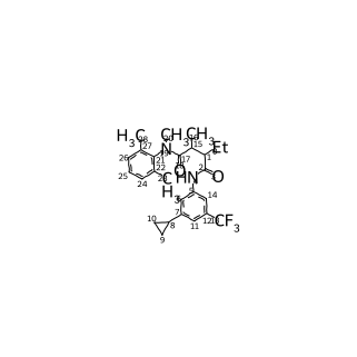 CCC(C(=O)Nc1cc(C2CC2)cc(C(F)(F)F)c1)C(C)C(=O)N(C)c1c(C)cccc1C